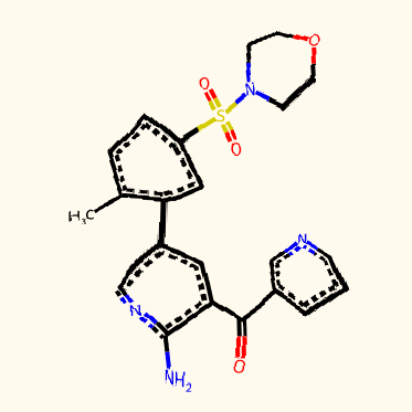 Cc1ccc(S(=O)(=O)N2CCOCC2)cc1-c1cnc(N)c(C(=O)c2cccnc2)c1